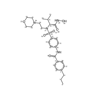 CCCc1ccc(C(=O)Nc2ccc(S(=O)(=O)N(CCN3CCOCC3)C(C(=O)NO)C(C)C)cc2)cc1